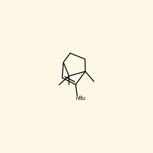 CCCCC1=CC2CCC1(C)C2(C)C